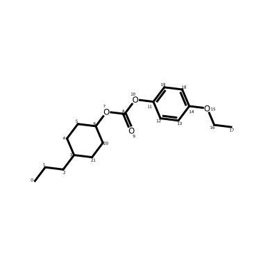 CCCC1CCC(OC(=O)Oc2ccc(OCC)cc2)CC1